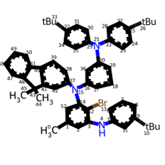 Cc1cc(Nc2cccc(C(C)(C)C)c2)c(Br)c(N(c2cccc(N(c3ccc(C(C)(C)C)cc3)c3ccc(C(C)(C)C)cc3)c2)c2ccc3c(c2)C(C)(C)c2ccccc2-3)c1